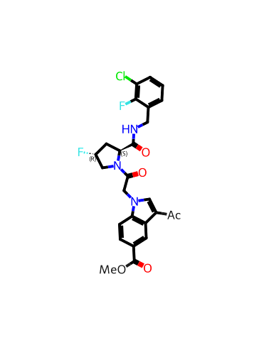 COC(=O)c1ccc2c(c1)c(C(C)=O)cn2CC(=O)N1C[C@H](F)C[C@H]1C(=O)NCc1cccc(Cl)c1F